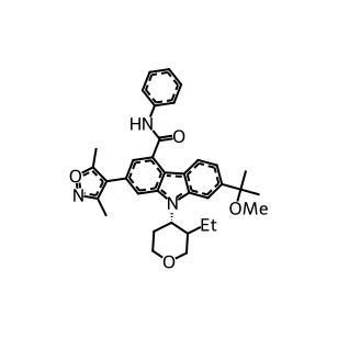 CCC1COCC[C@@H]1n1c2cc(C(C)(C)OC)ccc2c2c(C(=O)Nc3ccccc3)cc(-c3c(C)noc3C)cc21